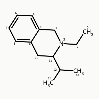 CCN1Cc2ccccc2CC1C(C)C